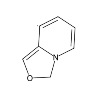 [C]1=CC=CN2COC=C12